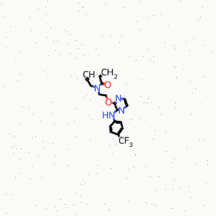 C#CCN(CCOc1nccnc1Nc1ccc(C(F)(F)F)cc1)C(=O)C=C